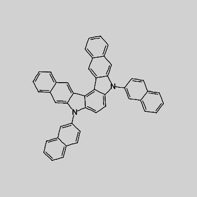 c1ccc2cc(-n3c4cc5ccccc5cc4c4c5c6cc7ccccc7cc6n(-c6ccc7ccccc7c6)c5ccc43)ccc2c1